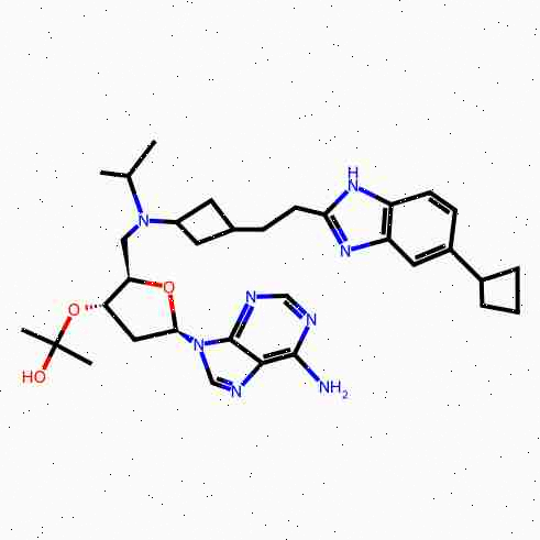 CC(C)N(C[C@H]1O[C@@H](n2cnc3c(N)ncnc32)C[C@@H]1OC(C)(C)O)C1CC(CCc2nc3cc(C4CCC4)ccc3[nH]2)C1